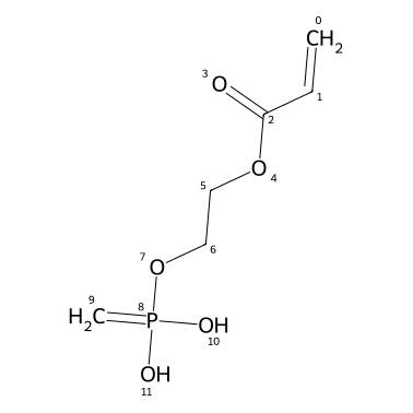 C=CC(=O)OCCOP(=C)(O)O